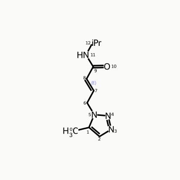 Cc1cnnn1C/C=C/C(=O)NC(C)C